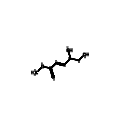 COC(=O)/C=C/C(O)CO